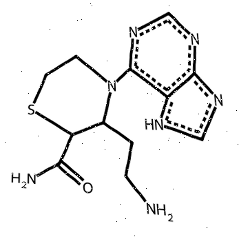 NCCC1C(C(N)=O)SCCN1c1ncnc2nc[nH]c12